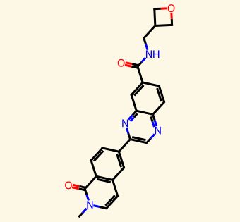 Cn1ccc2cc(-c3cnc4ccc(C(=O)NCC5COC5)cc4n3)ccc2c1=O